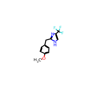 COc1ccc(Cc2nc(C(F)(F)F)c[nH]2)cc1